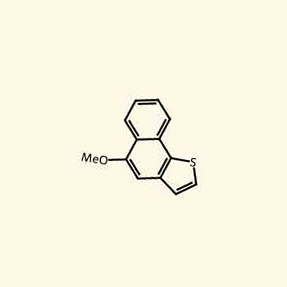 COc1cc2ccsc2c2ccccc12